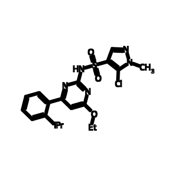 CCOc1cc(-c2ccccc2C(C)C)nc(NS(=O)(=O)c2cnn(C)c2Cl)n1